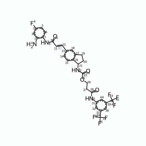 Nc1cc(F)ccc1NC(=O)/C=C/c1ccc2c(c1)CCC2NC(=O)OCCC(=O)Nc1cc(C(F)(F)F)cc(C(F)(F)F)c1